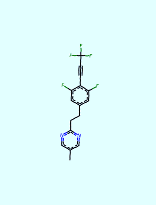 Cc1cnc(CCc2cc(F)c(C#CC(F)(F)F)c(F)c2)nc1